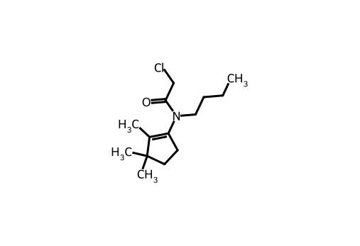 CCCCN(C(=O)CCl)C1=C(C)C(C)(C)CC1